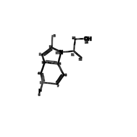 Cc1cc2cc(F)ccc2n1C(C)CO